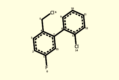 Fc1ccc(CCl)c(-c2ccccc2Cl)c1